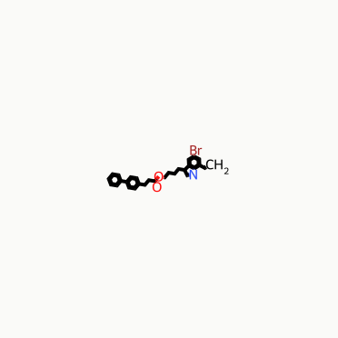 C=Cc1cc(Br)cc2c1N=CC2CCCCOC(=O)CCc1ccc(-c2ccccc2)cc1